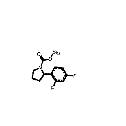 CC(C)(C)OC(=O)N1CCCC1c1ccc(F)cc1F